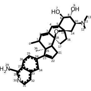 CC1C=C2C=C3[C@@H](O)[C@H](O)[C@@H](N(C)C)C[C@]34CC[C@]2(O4)C2CC=C(c3ccc4c(N)nccc4c3)[C@@]12C